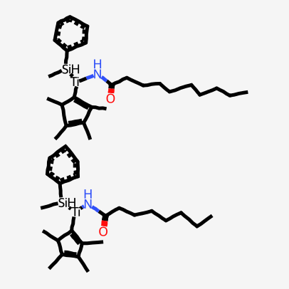 CCCCCCCC(=O)[NH][Ti]([C]1=C(C)C(C)=C(C)C1C)[SiH](C)c1ccccc1.CCCCCCCCCC(=O)[NH][Ti]([C]1=C(C)C(C)=C(C)C1C)[SiH](C)c1ccccc1